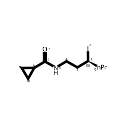 CCC[C@H](I)CCNC(=O)C1CC1